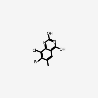 Cc1cc2c(O)nc(O)nc2c(Cl)c1Br